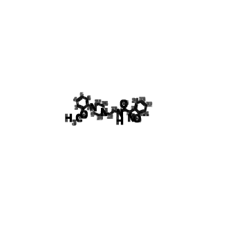 COc1ccccc1N1CCN(CCNC(=O)c2noc3ccccc23)CC1